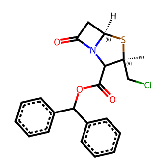 C[C@@]1(CCl)S[C@@H]2CC(=O)N2C1C(=O)OC(c1ccccc1)c1ccccc1